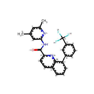 Cc1cc(C)nc(NC(=O)c2ccc3cccc(-c4cccc(C(F)(F)F)c4)c3n2)c1